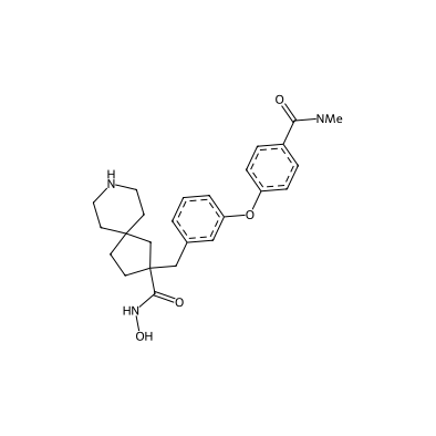 CNC(=O)c1ccc(Oc2cccc(CC3(C(=O)NO)CCC4(CCNCC4)C3)c2)cc1